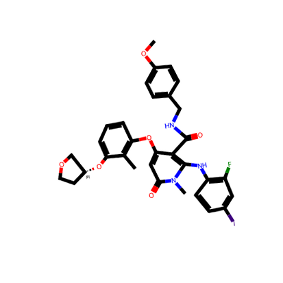 COc1ccc(CNC(=O)c2c(Oc3cccc(O[C@@H]4CCOC4)c3C)cc(=O)n(C)c2Nc2ccc(I)cc2F)cc1